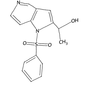 CC(O)c1cc2cnccc2n1S(=O)(=O)c1ccccc1